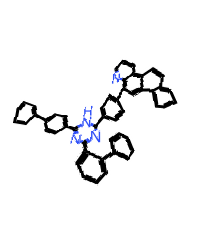 c1ccc(-c2ccc(C3=NC(c4ccccc4-c4ccccc4)=NC(c4ccc(-c5cc6c7ccccc7ccc6c6cccnc56)cc4)N3)cc2)cc1